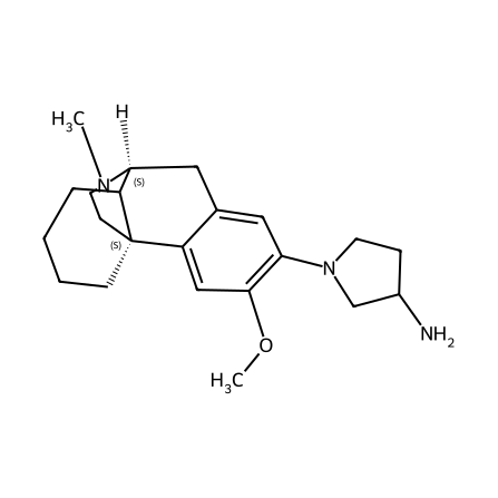 COc1cc2c(cc1N1CCC(N)C1)C[C@H]1C3CCCC[C@@]23CCN1C